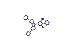 Cc1cc(-n2c3ccc(-c4ccccc4)cc3c3cc(-c4ccccc4)ccc32)cc(C)c1-c1c(C#N)cncc1C#N